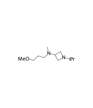 COCCCN(C)C1CN(C(C)C)C1